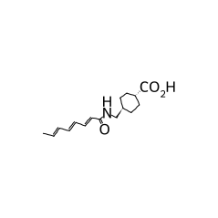 CC=CC=CC=CC(=O)NC[C@H]1CC[C@H](C(=O)O)CC1